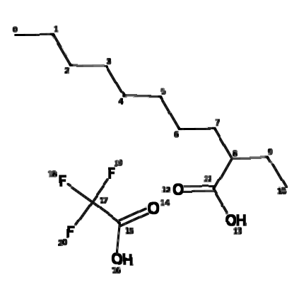 CCCCCCCCC(CC)C(=O)O.O=C(O)C(F)(F)F